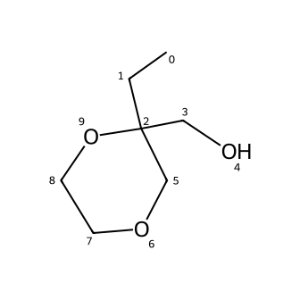 CCC1(CO)COCCO1